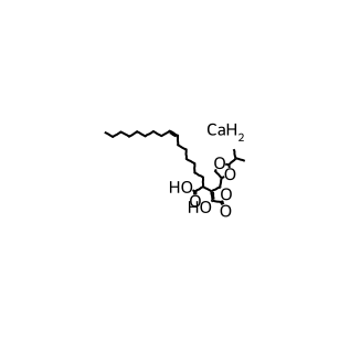 CCCCCCCC/C=C\CCCCCCC(C(=O)O)C1=C(O)C(=O)OC1C1COC(C(C)C)O1.[CaH2]